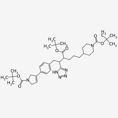 CC(C)(C)OC(=O)C(CCCC1CCN(C(=O)OC(C)(C)C)CC1)C(Cc1ccc(C2=CCN(C(=O)OC(C)(C)C)C2)cc1)c1nnn[nH]1